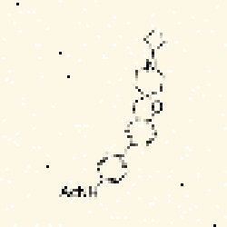 CC(=O)Nc1ccc(-c2ccc3c(c2)CC2(CCN(C4CCC4)CC2)O3)cc1